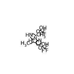 CCC1c2cccnc2N2[C@H](C)CNC[C@@H]12.O=C(O)C(F)(F)F.O=C(O)C(F)(F)F